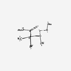 CCCCOCC(O)C(C)(Br)C(=O)OC